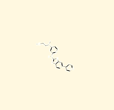 CN(CCO)c1ccnc(Nc2nc3ccc(-c4ccncc4)cc3s2)c1